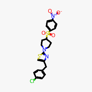 O=[N+]([O-])c1ccc(S(=O)(=O)C2CCN(c3nc(Cc4ccc(Cl)cc4)cs3)CC2)cc1